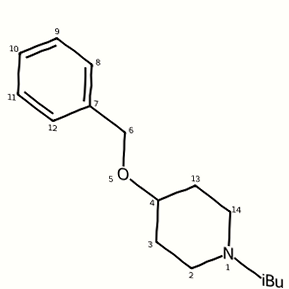 CCC(C)N1CCC(OCc2ccccc2)CC1